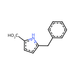 O=C(O)c1ccc(Cc2ccccc2)[nH]1